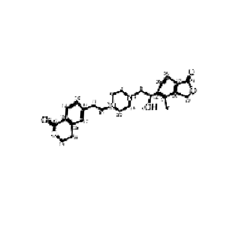 Cc1c(C(O)CN2CCN(CCc3ccc4c(c3)CCOC4=O)CC2)ccc2c1COC2=O